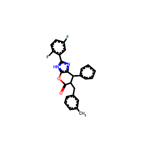 Cc1cccc(CC2C(=O)Oc3[nH]c(-c4cc(F)ccc4F)nc3C2c2ccccc2)c1